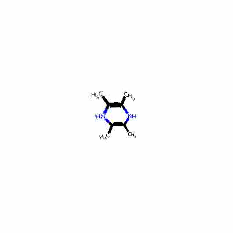 CC1=C(C)NC(C)=C(C)N1